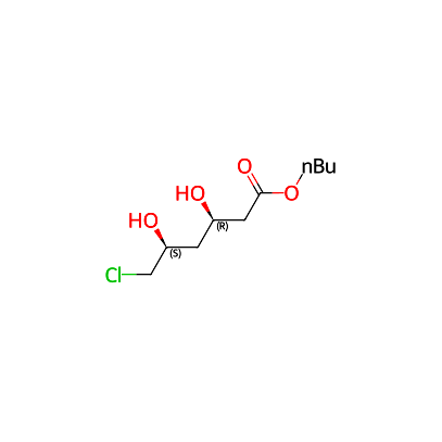 CCCCOC(=O)C[C@H](O)C[C@H](O)CCl